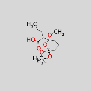 CCCC(C(=O)O)C1(OC)CCC[Si](OC)(OC)O1